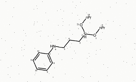 CCCO[SiH](CCCNc1ccccc1)OCCC